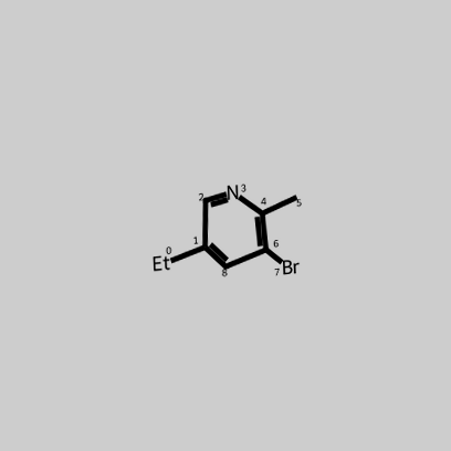 CCc1cnc(C)c(Br)c1